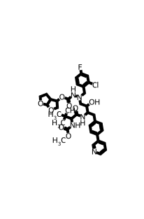 COC(=O)NC(C(=O)NC(Cc1ccc(-c2cccnc2)cc1)C(O)CN(Cc1ccc(F)cc1Cl)NC(=O)OC1COC2OCCC12)C(C)(C)C